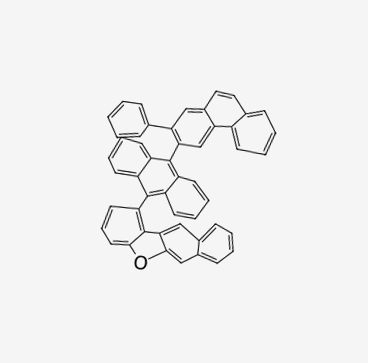 c1ccc(-c2cc3ccc4ccccc4c3cc2-c2c3ccccc3c(-c3cccc4oc5cc6ccccc6cc5c34)c3ccccc23)cc1